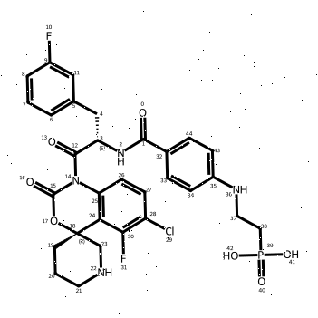 O=C(N[C@@H](Cc1cccc(F)c1)C(=O)N1C(=O)O[C@]2(CCCNC2)c2c1ccc(Cl)c2F)c1ccc(NCCP(=O)(O)O)cc1